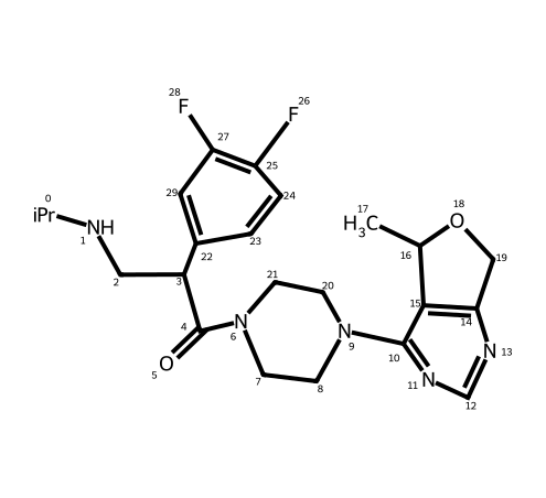 CC(C)NCC(C(=O)N1CCN(c2ncnc3c2C(C)OC3)CC1)c1ccc(F)c(F)c1